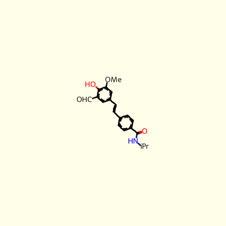 COc1cc(/C=C/c2ccc(C(=O)NC(C)C)cc2)cc(C=O)c1O